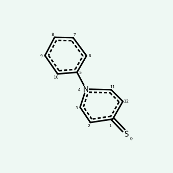 S=c1ccn(-c2ccccc2)cc1